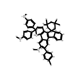 COc1ccc(C2(c3ccc(OC)cc3)C=Cc3c4c(c5cc(-c6ccc(C)cc6)c(OC)cc5c3O2)-c2ccccc2C42CC(C)(C)CC(C)(C)C2)cc1